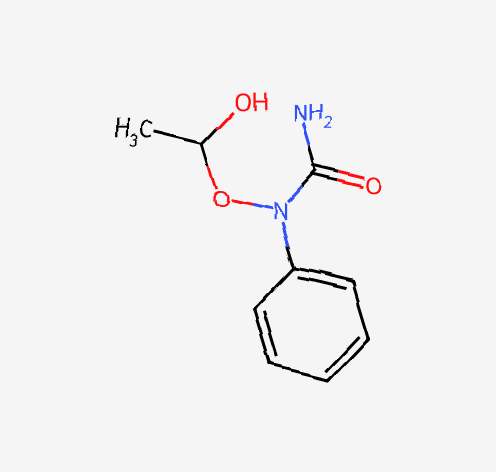 CC(O)ON(C(N)=O)c1ccccc1